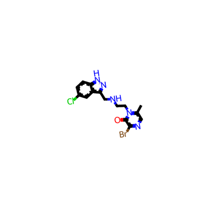 Cc1cnc(Br)c(=O)n1CCNCc1n[nH]c2ccc(Cl)cc12